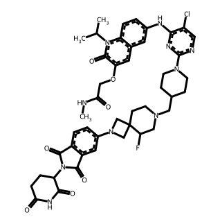 CNC(=O)COc1cc2cc(Nc3nc(N4CCC(CN5CCC6(CN(c7ccc8c(c7)C(=O)N(C7CCC(=O)NC7=O)C8=O)C6)C(F)C5)CC4)ncc3Cl)ccc2n(C(C)C)c1=O